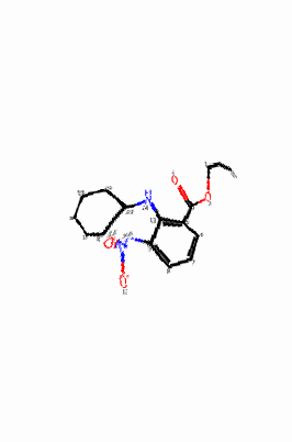 CCOC(=O)c1cccc([N+](=O)[O-])c1NC1CCCCC1